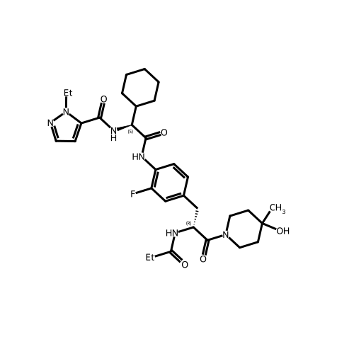 CCC(=O)N[C@H](Cc1ccc(NC(=O)[C@@H](NC(=O)c2ccnn2CC)C2CCCCC2)c(F)c1)C(=O)N1CCC(C)(O)CC1